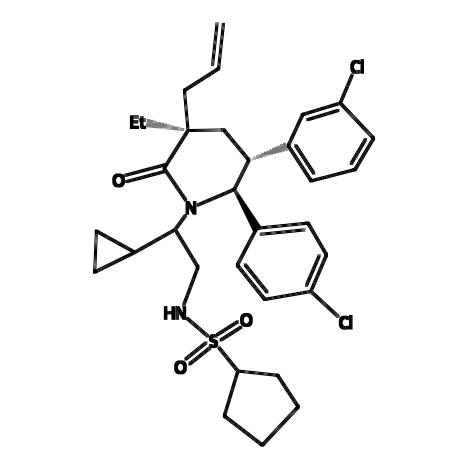 C=CC[C@@]1(CC)C[C@H](c2cccc(Cl)c2)[C@@H](c2ccc(Cl)cc2)N(C(CNS(=O)(=O)C2CCCC2)C2CC2)C1=O